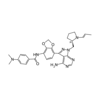 CC=CN1CCC[C@@H]1Cn1nc(-c2ccc(NC(=O)c3ccc(N(C)C)cc3)c3c2OCO3)c2c(N)ncnc21